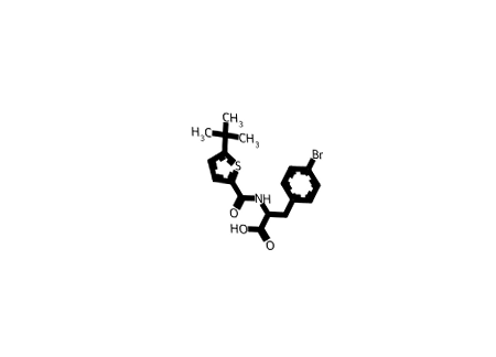 CC(C)(C)c1ccc(C(=O)NC(Cc2ccc(Br)cc2)C(=O)O)s1